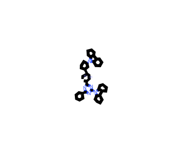 C=C(/C=C\C(=C/C)c1cccc(-n2c3ccccc3c3ccccc32)c1)c1nc(-c2ccccc2)nc(-n2c3ccccc3c3ccccc32)n1